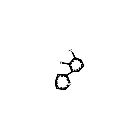 N#Cc1cccc(-c2ccccn2)c1F